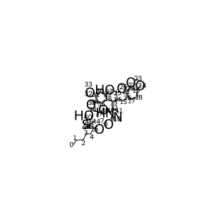 CCCCCC(OCOc1ncc(/C(=C(\Cc2ccc3c(c2)OCO3)C(=O)O)c2ccc(OC)cc2OCC(=O)O)[nH]1)[Si](C)(C)C